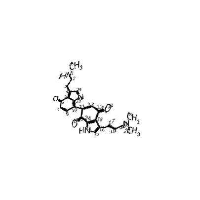 CNCCC1=C2C(=O)C=CC(C3=CC(=O)c4c(CCN(C)C)c[nH]c4C3=O)=C2N=C1